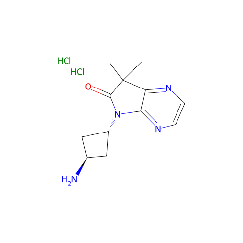 CC1(C)C(=O)N([C@H]2C[C@H](N)C2)c2nccnc21.Cl.Cl